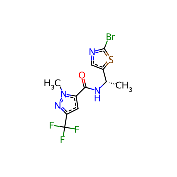 C[C@H](NC(=O)c1cc(C(F)(F)F)nn1C)c1cnc(Br)s1